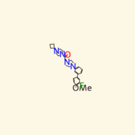 COc1ccc(-c2cccc(N3CCN(CC(=O)N4CCN(C5CCC5)CC4)CC3)c2)cc1F